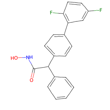 O=C(NO)C(c1ccccc1)c1ccc(-c2cc(F)ccc2F)cc1